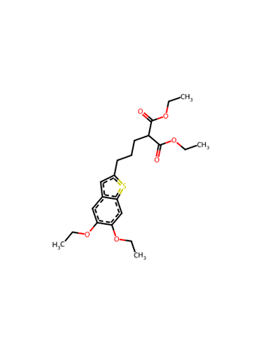 CCOC(=O)C(CCCc1cc2cc(OCC)c(OCC)cc2s1)C(=O)OCC